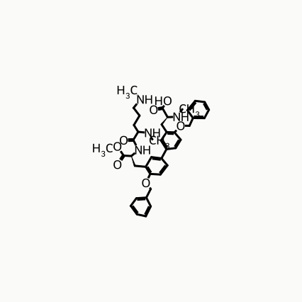 CNCCCC(NC)C(=O)N[C@@H](Cc1cc(-c2ccc(OCc3ccccc3)c(C[C@H](NC)C(=O)O)c2)ccc1OCc1ccccc1)C(=O)OC